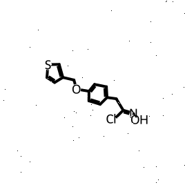 ON=C(Cl)Cc1ccc(OCc2ccsc2)cc1